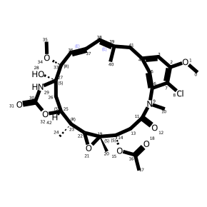 COc1cc2cc(c1Cl)N(C)C(=O)C[C@H](OC(C)=O)[C@]1(C)OC1[C@H](C)[C@@H]1C[C@@](O)(NC(=O)O1)[C@H](OC)/C=C/C=C(\C)C2